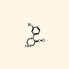 O=C=C1CNCCN1c1cccc(Br)c1